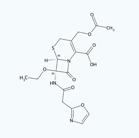 CCO[C@]1(NC(=O)Cc2ncco2)C(=O)N2C(C(=O)O)=C(COC(C)=O)CS[C@@H]21